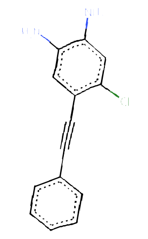 Nc1cc(Cl)c(C#Cc2ccccc2)cc1N